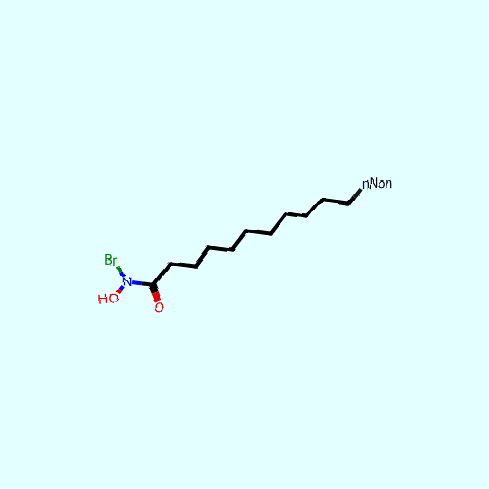 CCCCCCCCCCCCCCCCCCCC(=O)N(O)Br